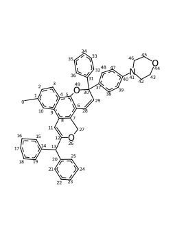 Cc1ccc2c3c(c4c(c2c1)C=C(C(c1ccccc1)c1ccccc1)OC4)C=CC(c1ccccc1)(c1ccc(N2CCOCC2)cc1)O3